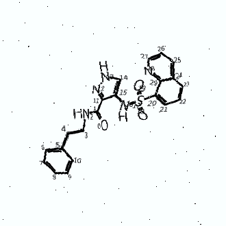 O=C(NCCc1ccccc1)c1n[nH]cc1NS(=O)(=O)c1cccc2cccnc12